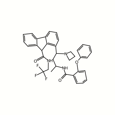 CC(CC(c1cccc2c1C(C(=O)NCC(F)(F)F)c1ccccc1-2)N1CCC1)NC(=O)c1ccccc1Oc1ccccc1